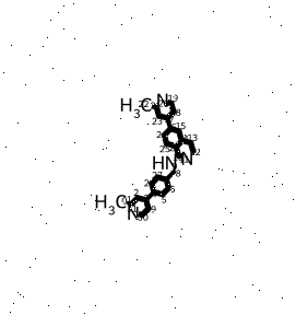 Cc1cc(-c2ccc(CNc3nccc4cc(-c5ccnc(C)c5)ccc34)cc2)ccn1